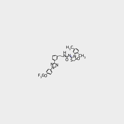 Cc1ccc(C)c(N2C(=O)CS/C2=N\C(=O)NCCc2cccc(-c3ncn(-c4ccc(OC(F)(F)F)cc4)n3)c2)c1